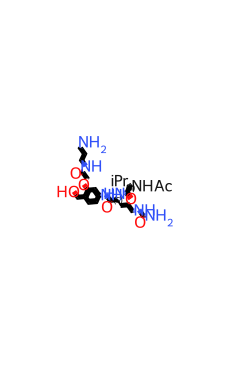 CC(=O)N[C@H](C(=O)N[C@@H](CCCNC(N)=O)C(=O)Nc1ccc(CO)c(OCC(=O)NCCCN)c1)C(C)C